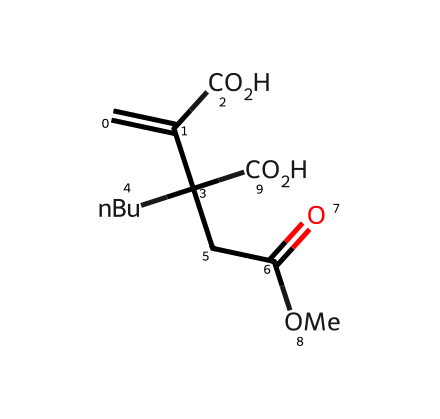 C=C(C(=O)O)C(CCCC)(CC(=O)OC)C(=O)O